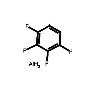 Fc1[c]cc(F)c(F)c1F.[AlH3]